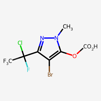 Cn1nc(C(F)(Cl)C(F)(F)F)c(Br)c1OC(=O)O